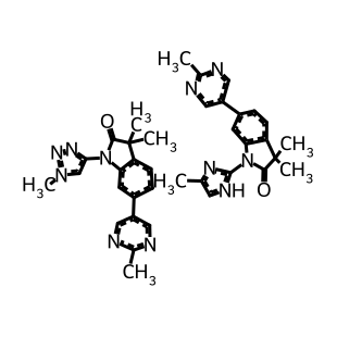 Cc1c[nH]c(N2C(=O)C(C)(C)c3ccc(-c4cnc(C)nc4)cc32)n1.Cc1ncc(-c2ccc3c(c2)N(c2cn(C)nn2)C(=O)C3(C)C)cn1